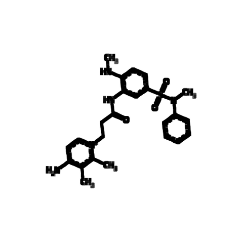 CNc1ccc(S(=O)(=O)N(C)c2ccccc2)cc1NC(=O)CC[n+]1ccc(N)c(C)c1C